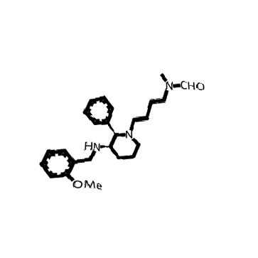 COc1ccccc1CN[C@@H]1CCCN(CCCCN(C)C=O)[C@@H]1c1ccccc1